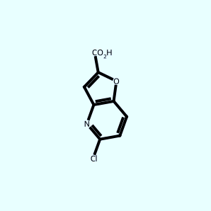 O=C(O)c1cc2nc(Cl)ccc2o1